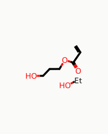 C=CC(=O)OCCCO.CCO